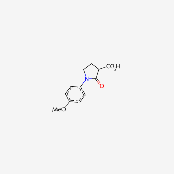 COc1ccc(N2CCC(C(=O)O)C2=O)cc1